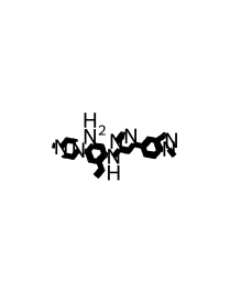 C=Cc1cc(N2CCN(C)CC2)c(N)cc1Nc1cc(-c2ccc3c(cnn3C)c2)ncn1